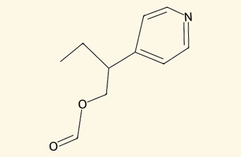 CCC(COC=O)c1ccncc1